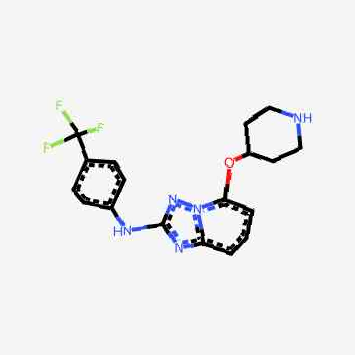 FC(F)(F)c1ccc(Nc2nc3cccc(OC4CCNCC4)n3n2)cc1